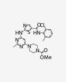 COC(=O)N1CCN(c2cc(Nc3ncc(C(=O)Nc4c(C)cccc4Cl)s3)nc(C)n2)CC1